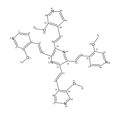 COc1cnccc1C=Cc1nc(C=Cc2ccncc2OC)c(C=Cc2ccncc2OC)nc1C=Cc1ccncc1OC